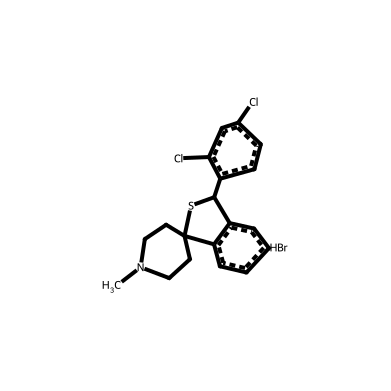 Br.CN1CCC2(CC1)SC(c1ccc(Cl)cc1Cl)c1ccccc12